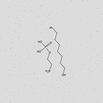 CC(C)CCCCCCCO.NCCOP(=O)(O)O